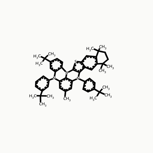 Cc1cc2c3c(c1)N(c1ccc(C(C)(C)C)cc1)c1c(sc4cc5c(cc14)C(C)(C)CCC5(C)C)B3c1ccc(C(C)(C)C)cc1N2c1cccc(C(C)(C)C)c1